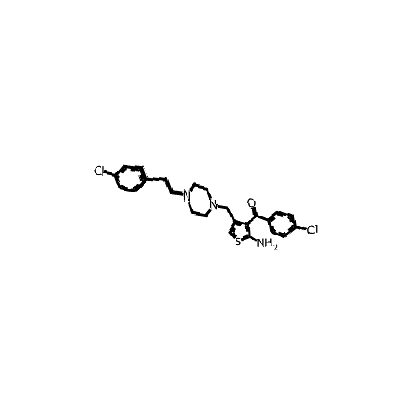 Nc1scc(CN2CCN(CCc3ccc(Cl)cc3)CC2)c1C(=O)c1ccc(Cl)cc1